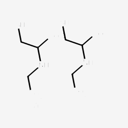 O=C(O)CNC(CS)C(=O)[O-].O=C(O)CNC(CS)C(=O)[O-].[Zn+2]